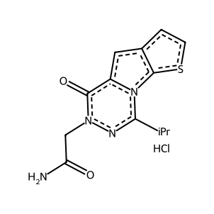 CC(C)c1nn(CC(N)=O)c(=O)c2cc3ccsc3n12.Cl